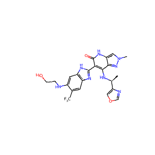 C[C@H](Nc1c(-c2nc3cc(C(F)(F)F)c(NCCO)cc3[nH]2)c(=O)[nH]c2cn(C)nc12)c1cocn1